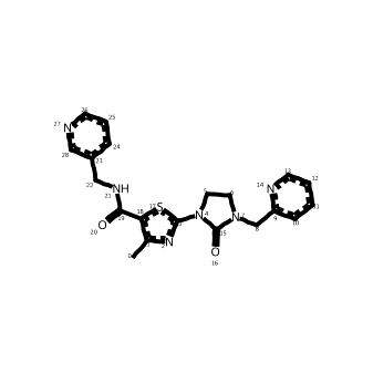 Cc1nc(N2CCN(Cc3ccccn3)C2=O)sc1C(=O)NCc1cccnc1